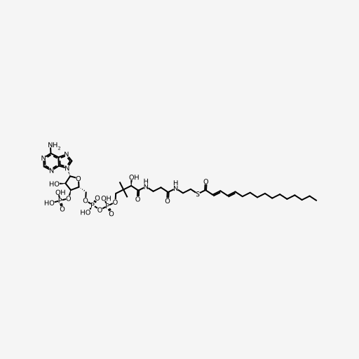 CCCCCCCCCCCC=CC=CC(=O)SCCNC(=O)CCNC(=O)[C@H](O)C(C)(C)COP(=O)(O)OP(=O)(O)OC[C@H]1O[C@@H](n2cnc3c(N)ncnc32)[C@H](O)[C@@H]1OP(=O)(O)O